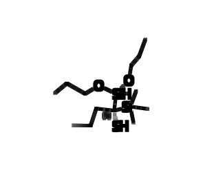 CCCO[SiH](OCCC)[C@](S)(CCC)[Si](C)(C)C